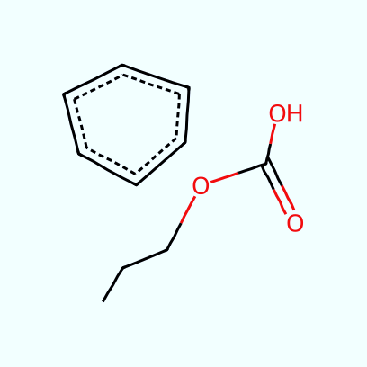 CCCOC(=O)O.c1ccccc1